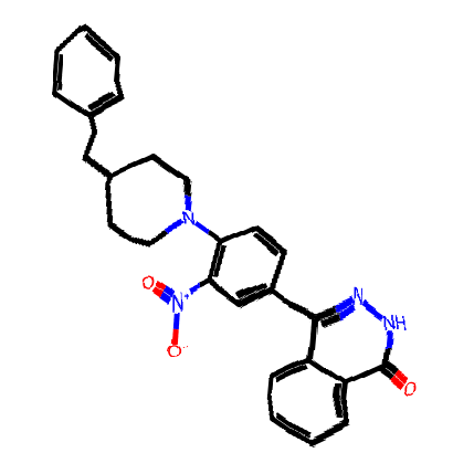 O=c1[nH]nc(-c2ccc(N3CCC(Cc4ccccc4)CC3)c([N+](=O)[O-])c2)c2ccccc12